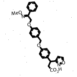 CON=C(COc1ccc(COc2ccc(C(CC(=O)O)c3ccon3)cc2)cc1)c1ccccc1